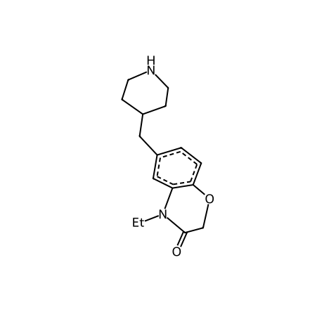 CCN1C(=O)COc2ccc(CC3CCNCC3)cc21